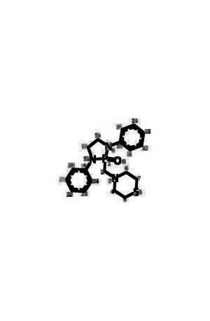 O=P1(CN2CCSCC2)N(c2ccccc2)CCN1c1ccccc1